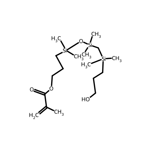 C=C(C)C(=O)OCCC[Si](C)(C)O[Si](C)(C)C[Si](C)(C)CCCO